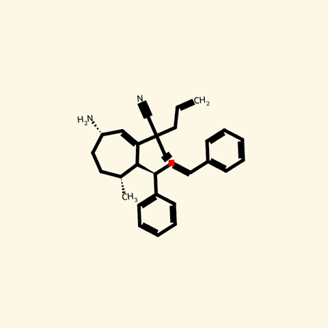 C=CCC(C#N)(C#N)C1=C[C@@H](N)CC[C@@H](C)C1[C@@H](/C=C/c1ccccc1)c1ccccc1